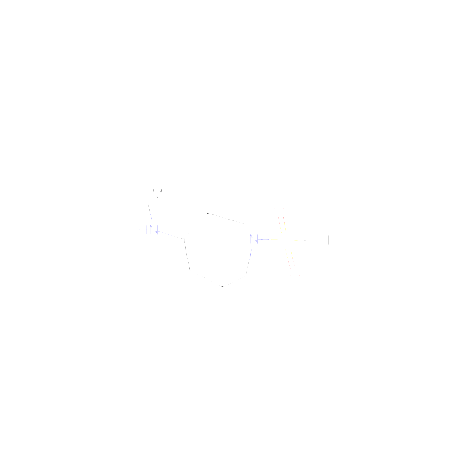 CSNC1CCCN(S(C)(=O)=O)CC1